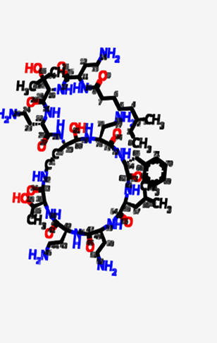 CC[C@H](C)CCCCC(=O)NC(CCN)C(=O)N[C@H](C(=O)N[C@@H](CCN)C(=O)N[C@H]1CCNC(=O)[C@H](C(C)O)NC(=O)[C@H](CCN)NC(=O)[C@H](CCN)NC(=O)[C@H](CC(C)C)NC(=O)[C@@H](Cc2ccccc2)NC(=O)[C@H](CCN)NC1O)C(C)(C)O